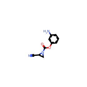 N#CC1CN1C(=O)Oc1cccc(N)c1